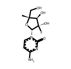 C[C@]1(CO)O[C@@H](n2ccc(N)nc2=O)[C@](O)(F)[C@@H]1O